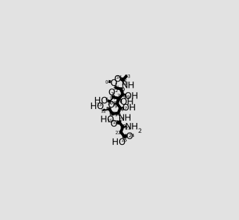 CO[C@H]1O[C@H](CO)[C@](O)([C@@H]2O[C@H](CO)[C@H](O)[C@@H](NC(=O)[C@@H](N)CC(=O)O)[C@H]2O)[C@H](O)[C@@H]1NC(C)=O